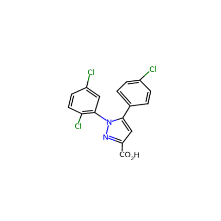 O=C(O)c1cc(-c2ccc(Cl)cc2)n(-c2cc(Cl)ccc2Cl)n1